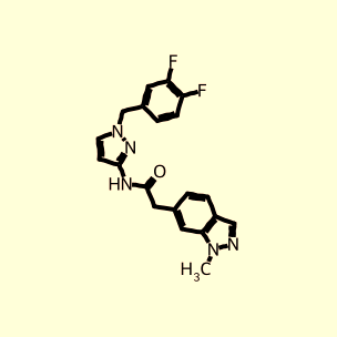 Cn1ncc2ccc(CC(=O)Nc3ccn(Cc4ccc(F)c(F)c4)n3)cc21